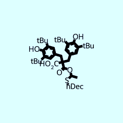 CCCCCCCCCCSC(C)OC(=O)C(Cc1cc(C(C)(C)C)c(O)c(C(C)(C)C)c1)(Cc1cc(C(C)(C)C)c(O)c(C(C)(C)C)c1)C(=O)O